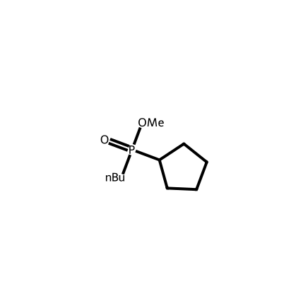 CCCCP(=O)(OC)C1CCCC1